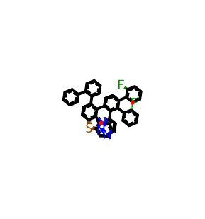 Fc1ccccc1-c1ccc(-c2c(-c3ccccc3-c3ccccc3)ccc3sc4ccccc4c23)c(-c2ccnnn2)c1-c1ccccc1F